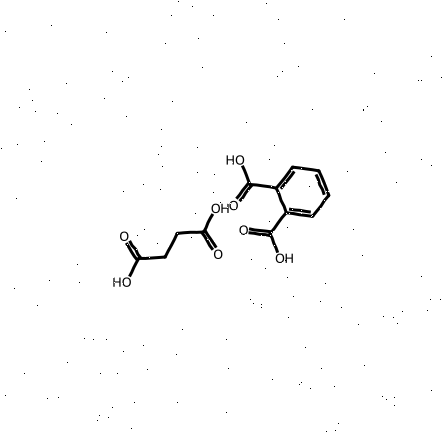 O=C(O)CCC(=O)O.O=C(O)c1ccccc1C(=O)O